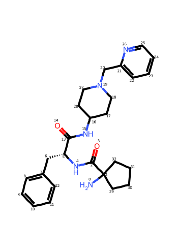 NC1(C(=O)N[C@H](Cc2ccccc2)C(=O)NC2CCN(Cc3ccccn3)CC2)CCCC1